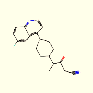 CC(C(=O)CC#N)C1CCC(c2ccnc3ccc(F)cc23)CC1